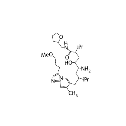 COCCCc1cnc2cc(C)c(CC(CC(N)C(O)CC(C(=O)NCC3CCCO3)C(C)C)C(C)C)cn12